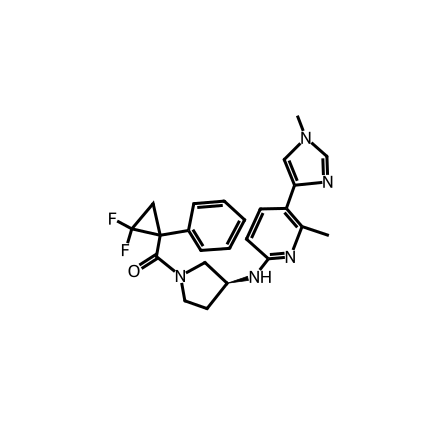 Cc1nc(N[C@H]2CCN(C(=O)C3(c4ccccc4)CC3(F)F)C2)ccc1-c1cn(C)cn1